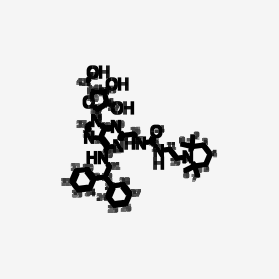 CC1(C)CCCC(C)(C)N1CCNC(=O)NCc1nc(NCC(c2ccccc2)c2ccccc2)c2ncn([C@@H]3O[C@H](CO)[C@@H](O)[C@H]3O)c2n1